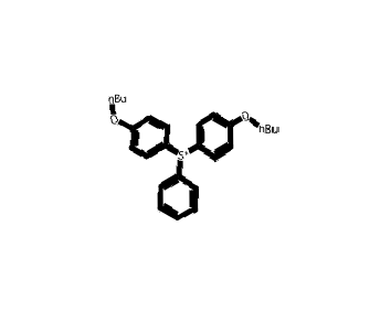 CCCCOc1ccc([S+](c2ccccc2)c2ccc(OCCCC)cc2)cc1